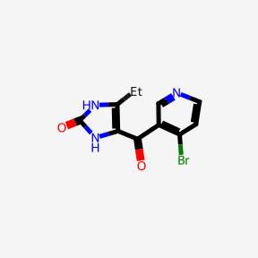 CCc1[nH]c(=O)[nH]c1C(=O)c1cnccc1Br